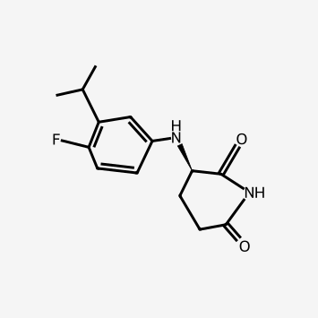 CC(C)c1cc(N[C@@H]2CCC(=O)NC2=O)ccc1F